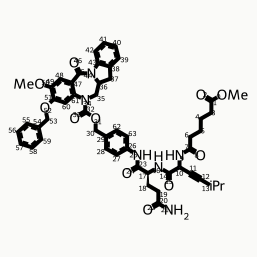 COC(=O)CCCCC(=O)NC(C#CC(C)C)C(=O)N[C@@H](CCC(N)=O)C(=O)Nc1ccc(COC(=O)N2CC3Cc4ccccc4N3C(=O)c3cc(OC)c(OCc4ccccc4)cc32)cc1